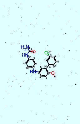 COc1ccc(Nc2ccc(NC(N)=O)cc2)cc1-c1cccc(Cl)c1